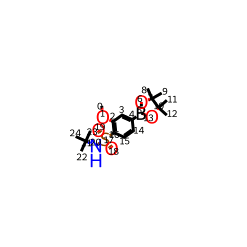 COc1cc(B2OC(C)(C)C(C)(C)O2)ccc1S(=O)(=O)NC(C)(C)C